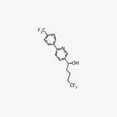 O[C@@H](CCCC(F)(F)F)c1ccc(-c2ccc(C(F)(F)F)cc2)nc1